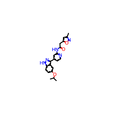 Cc1cc(CC(=O)Nc2cc(-c3n[nH]c4ccc(OC(C)C)cc34)ccn2)on1